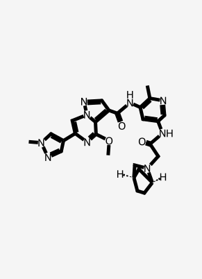 COc1nc(-c2cnn(C)c2)cn2ncc(C(=O)Nc3cc(NC(=O)CN4C[C@@H]5CC[C@H]4C5)cnc3C)c12